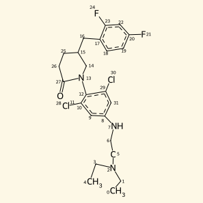 CCN(CC)CCNc1cc(Cl)c(N2CC(Cc3ccc(F)cc3F)CCC2=O)c(Cl)c1